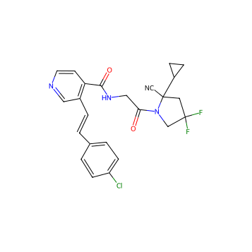 N#CC1(C2CC2)CC(F)(F)CN1C(=O)CNC(=O)c1ccncc1C=Cc1ccc(Cl)cc1